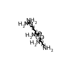 NCCC[C@@H](N)C(=O)OC(=O)C(N)CCCCN=C(N)N